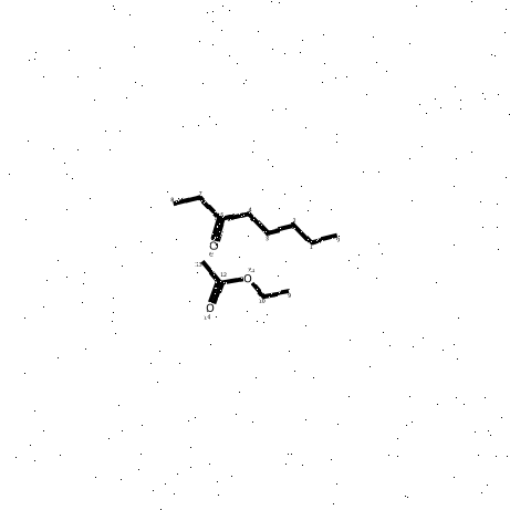 CCCCCC(=O)CC.CCOC(C)=O